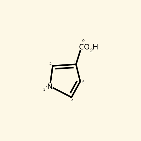 O=C(O)C1=C[N]C=C1